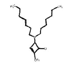 [Li][CH]1C(C)=CC1N(CCCCCCC)CCCCCCC